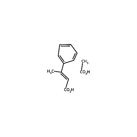 CC(=CC(=O)O)c1ccccc1.CC(=O)O